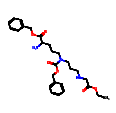 CCOC(=O)CNCCCN(CCCC(N)C(=O)OCc1ccccc1)C(=O)OCc1ccccc1